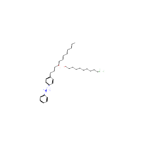 CCCCCCCCC(CCCc1ccc(/N=N/c2ccccc2)cc1)OCCCCCCCCCCBr